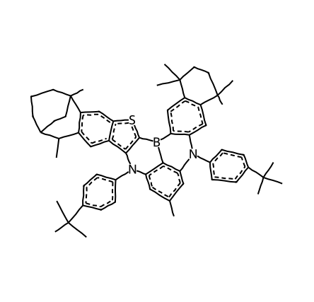 Cc1cc2c3c(c1)N(c1ccc(C(C)(C)C)cc1)c1c(sc4cc5c(cc14)C(C)C1CCCC5(C)CC1)B3c1cc3c(cc1N2c1ccc(C(C)(C)C)cc1)C(C)(C)CCC3(C)C